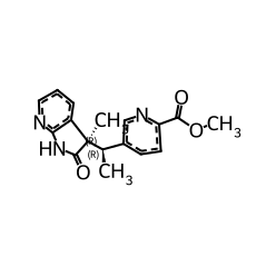 COC(=O)c1ccc([C@@H](C)[C@@]2(C)C(=O)Nc3ncccc32)cn1